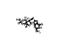 C#C[C@]1(F)[C@H](n2cnc3c(=O)[nH]c(N)nc32)O[C@@H]2C(OP(=O)(O)O)[C@@]21O